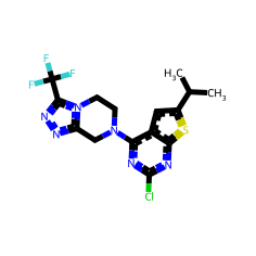 CC(C)c1cc2c(N3CCn4c(nnc4C(F)(F)F)C3)nc(Cl)nc2s1